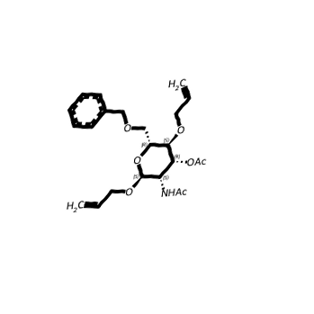 C=CCO[C@H]1O[C@H](COCc2ccccc2)[C@@H](OCC=C)[C@H](OC(C)=O)[C@@H]1NC(C)=O